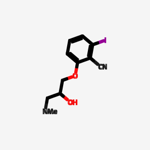 CNCC(O)COc1cccc(I)c1C#N